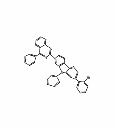 Brc1ccccc1-c1ccc2c3ccc(-c4nc(-c5ccccc5)c5ccccc5n4)cc3n(-c3ccccc3)c2c1